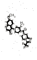 COc1ccc2c(N3CC[C@H](C(=O)N4CCn5c(nnc5C(F)(F)F)C4)[C@H](C)C3)c(Br)cnc2c1